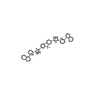 CC1(C)c2cc(-c3nnc(-c4cccc(-c5cccc6ccccc56)n4)s3)ccc2-c2ccc(-c3nnc(-c4cccc(-c5cccc6ccccc56)n4)s3)cc21